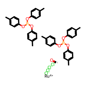 Cc1ccc(OP(Oc2ccc(C)cc2)Oc2ccc(C)cc2)cc1.Cc1ccc(OP(Oc2ccc(C)cc2)Oc2ccc(C)cc2)cc1.[C]=O.[Cl-].[Cl-].[Cl-].[Cl-].[Ru+4]